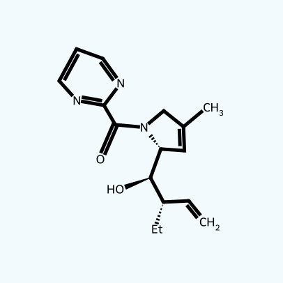 C=C[C@H](CC)[C@@H](O)[C@H]1C=C(C)CN1C(=O)c1ncccn1